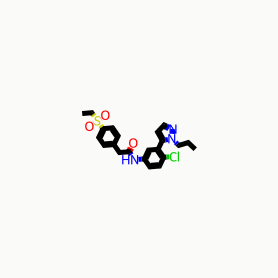 CCCn1nccc1-c1cc(NC(=O)Cc2ccc(S(=O)(=O)CC)cc2)ccc1Cl